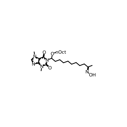 CCCCCCCCOC(CCCCCCCCC(C)=NO)n1c(=O)c2c(ncn2C)n(C)c1=O